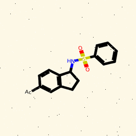 CC(=O)c1ccc2c(c1)CCC2NS(=O)(=O)c1ccccc1